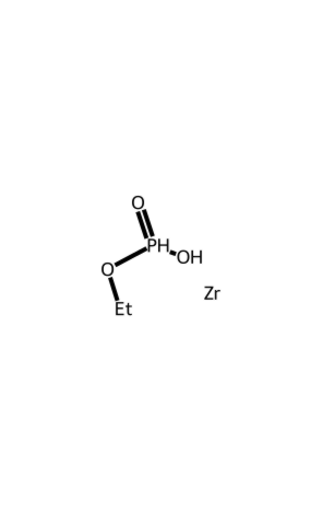 CCO[PH](=O)O.[Zr]